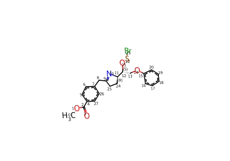 COC(=O)c1ccc(CC2=N[C@@H]([C@@H](COc3ccccc3)OSBr)CC2)cc1